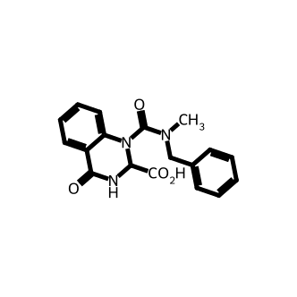 CN(Cc1ccccc1)C(=O)N1c2ccccc2C(=O)NC1C(=O)O